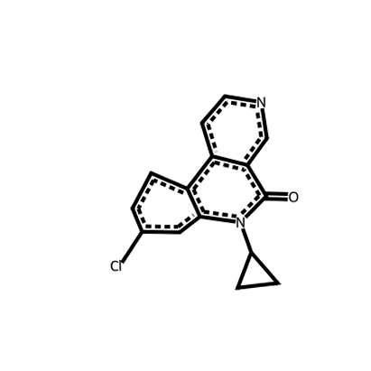 O=c1c2cnccc2c2ccc(Cl)cc2n1C1CC1